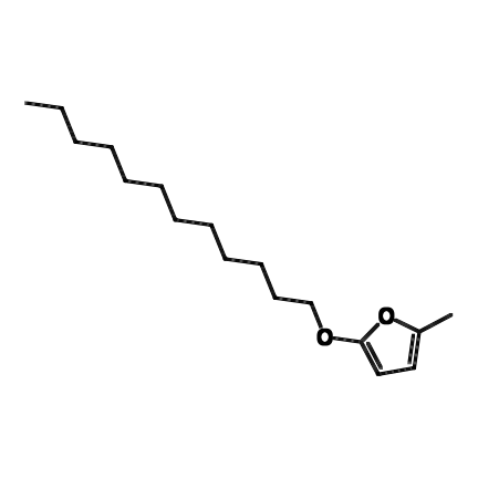 CCCCCCCCCCCCOc1ccc(C)o1